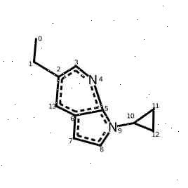 CCc1cnc2c(ccn2C2CC2)c1